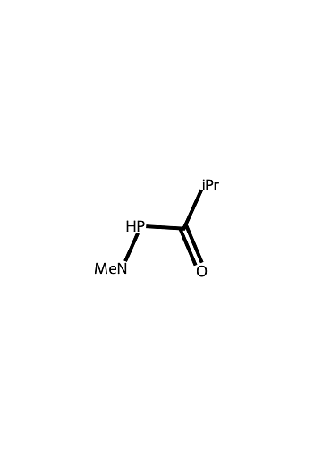 CNPC(=O)C(C)C